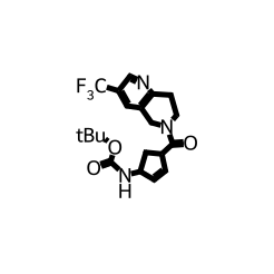 CC(C)(C)OC(=O)NC1C=CC(C(=O)N2CCc3ncc(C(F)(F)F)cc3C2)C1